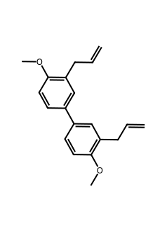 C=CCc1cc(-c2ccc(OC)c(CC=C)c2)ccc1OC